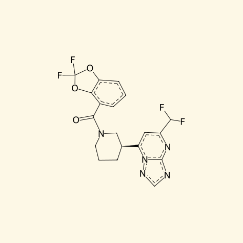 O=C(c1cccc2c1OC(F)(F)O2)N1CCC[C@H](c2cc(C(F)F)nc3ncnn23)C1